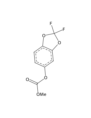 COC(=O)Oc1ccc2c(c1)OC(F)(F)O2